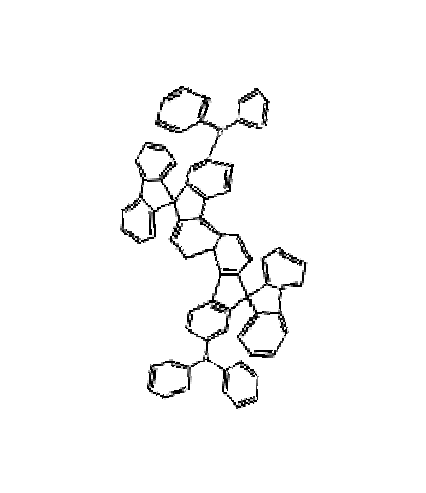 C1=CC2=C(c3ccc(N(c4ccccc4)c4ccccc4)cc3C23c2ccccc2-c2ccccc23)C2CC=C3C(=C12)c1ccc(N(c2ccccc2)c2ccccc2)cc1C31c2ccccc2-c2ccccc21